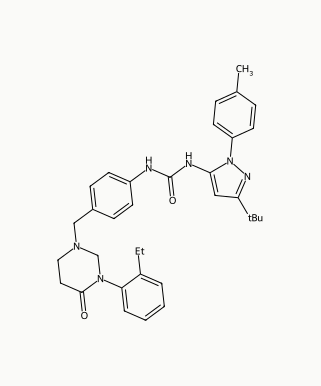 CCc1ccccc1N1CN(Cc2ccc(NC(=O)Nc3cc(C(C)(C)C)nn3-c3ccc(C)cc3)cc2)CCC1=O